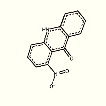 O=c1c2ccccc2[nH]c2cccc([N+](=O)[O-])c12